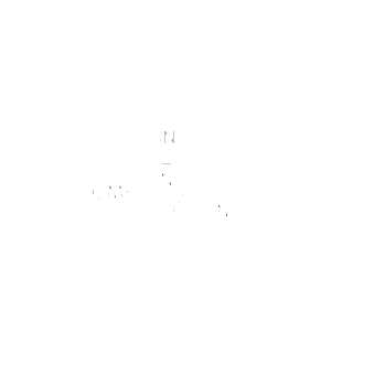 COc1ccccc1CNC(=O)C(Cc1c[nH]c2ccccc12)N(c1ccccc1)C(c1ccccc1)c1ccccc1